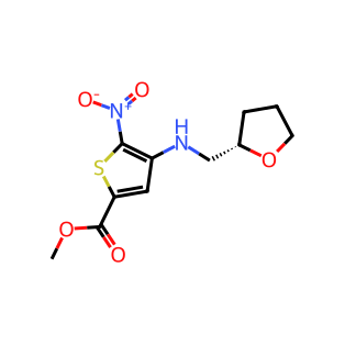 COC(=O)c1cc(NC[C@@H]2CCCO2)c([N+](=O)[O-])s1